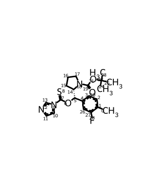 Cc1ccc(C(OC(=S)n2ccnc2)[C@@H]2CCCN2C(=O)OC(C)(C)C)cc1F